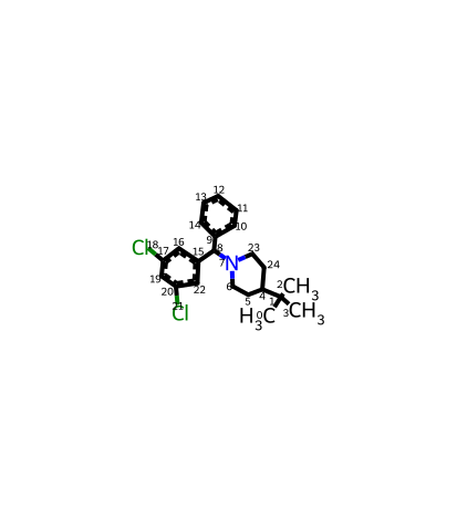 CC(C)(C)C1CCN(C(c2ccccc2)c2cc(Cl)cc(Cl)c2)CC1